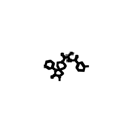 Cc1cccc(C(=O)N[C@@H](C(=O)N2CCC3(CC2)CN(C)C(=O)N3c2cccnc2)C(C)C)c1